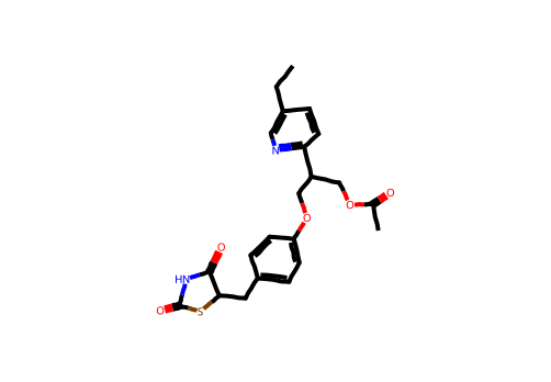 CCc1ccc(C(COC(C)=O)COc2ccc(CC3SC(=O)NC3=O)cc2)nc1